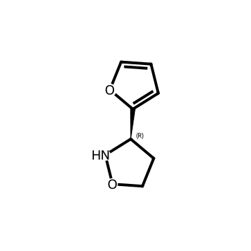 c1coc([C@H]2CCON2)c1